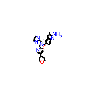 Cc1cc2cc(C(=O)N(Cc3ccc(C4CCOCC4)cn3)[C@@H](C)c3ncccn3)ccc2nc1N